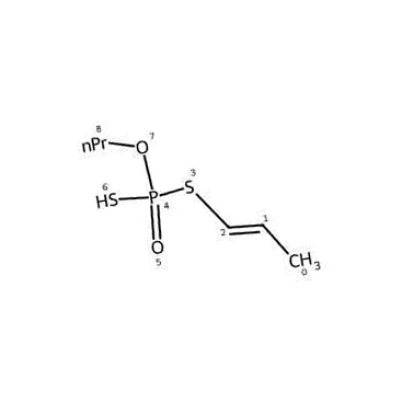 CC=CSP(=O)(S)OCCC